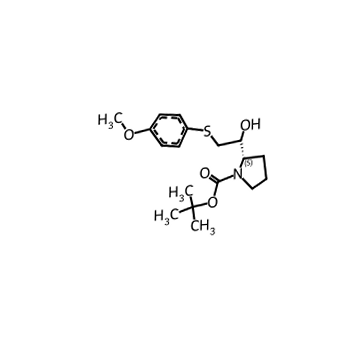 COc1ccc(SCC(O)[C@@H]2CCCN2C(=O)OC(C)(C)C)cc1